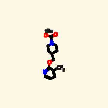 CC(C)(C)OC(=O)N1CCC(COc2ncccc2C(F)(F)F)CC1